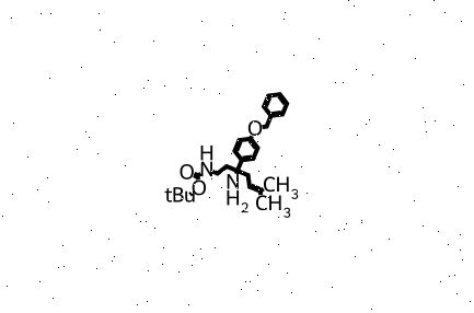 CC(C)=CCC(N)(CCNC(=O)OC(C)(C)C)c1ccc(OCc2ccccc2)cc1